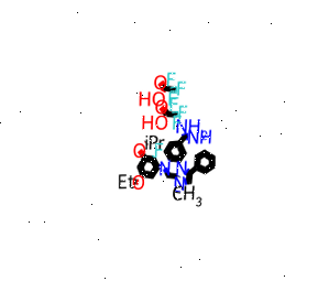 CCOc1cc(OC(C)C)c(F)c(N(Cc2nc(-c3ccccc3)cn2C)c2ccc(C(=N)N)cc2)c1.O=C(O)C(F)(F)F.O=C(O)C(F)(F)F